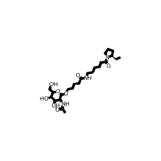 CC[C@@H]1CCCN1C(=O)CCCCCNC(=O)CCCCOC1OC(CO)C(O)C(O)C1NC(C)=O